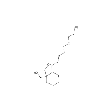 OCCOCCOCCC1CCCCC1(CO)CO